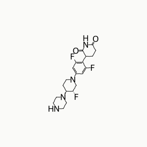 O=C1CCC(c2c(F)cc(N3CC[C@H](N4CCNCC4)[C@@H](F)C3)cc2F)C(=O)N1